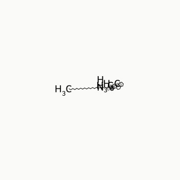 CCCCCCCCCCCCCCCCNCCCC[C@H]1CCC2C3CCC4CCCC[C@]4(C)C3CC[C@@]21C